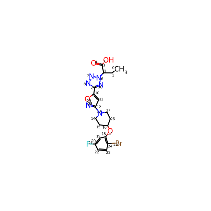 CCC(C(=O)O)n1nnc(-c2cc(N3CCC(Oc4cc(F)ccc4Br)CC3)no2)n1